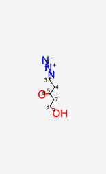 [N-]=[N+]=NCCC(=O)CCO